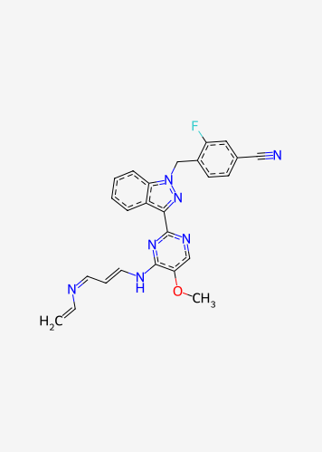 C=C/N=C\C=C\Nc1nc(-c2nn(Cc3ccc(C#N)cc3F)c3ccccc23)ncc1OC